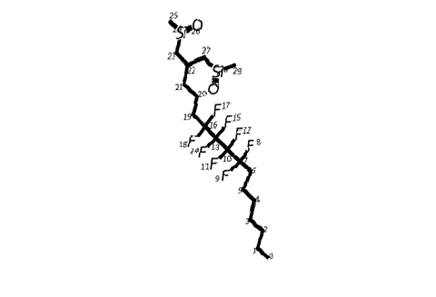 CCCCCCCC(F)(F)C(F)(F)C(F)(F)C(F)(F)CCCC(C[Si](C)=O)C[Si](C)=O